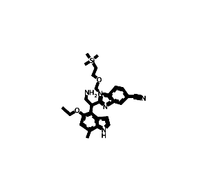 CCOc1cc(C)c2[nH]ccc2c1C(CN)c1nc2cc(C#N)ccc2n1COCC[Si](C)(C)C